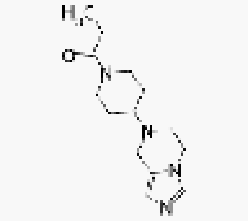 CCC(=O)N1CCC(N2CCn3cncc3C2)CC1